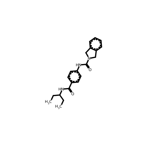 CCC(CC)NC(=O)c1ccc(NC(=O)N2Cc3ccccc3C2)cc1